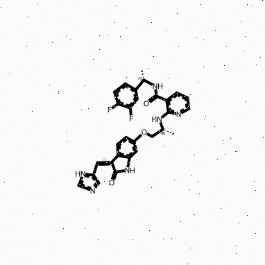 C[C@H](COc1ccc2c(c1)NC(=O)/C2=C\c1cnc[nH]1)Nc1ncccc1C(=O)N[C@@H](C)c1ccc(F)c(F)c1